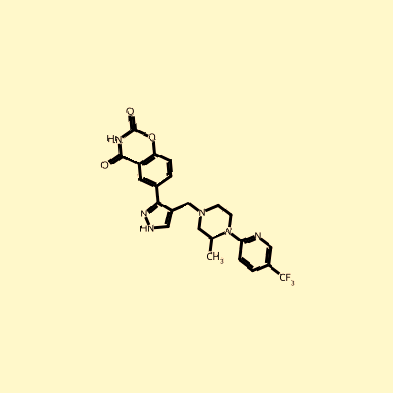 CC1CN(Cc2c[nH]nc2-c2ccc3oc(=O)[nH]c(=O)c3c2)CCN1c1ccc(C(F)(F)F)cn1